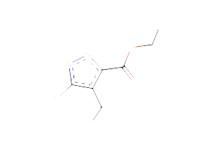 CCOC(=O)c1n[nH]c(N)c1CC